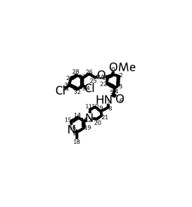 COc1ccc(C(=O)NCC2CCN(c3ccnc(C)c3)CC2)cc1OCCc1ccc(Cl)cc1Cl